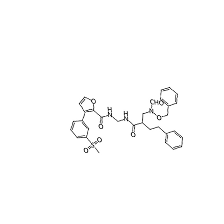 CS(=O)(=O)c1cccc(-c2ccoc2C(=O)NCNC(=O)C(CCc2ccccc2)CN(C=O)OCc2ccccc2)c1